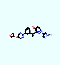 CCn1cc(-n2ccc(=O)c(C(C)c3cccc(-c4ncc(OC5COC5)cn4)c3)n2)cn1